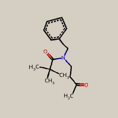 CC(=O)CCN(Cc1ccccc1)C(=O)C(C)(C)C